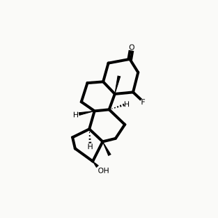 C[C@]12C(F)CC(=O)CC1CC[C@@H]1[C@@H]2CC[C@]2(C)[C@@H](O)CC[C@@H]12